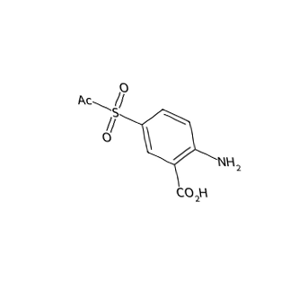 CC(=O)S(=O)(=O)c1ccc(N)c(C(=O)O)c1